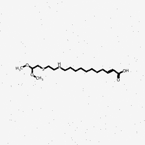 COC(CSCCNCCCCCCCCC=CC(=O)O)OC